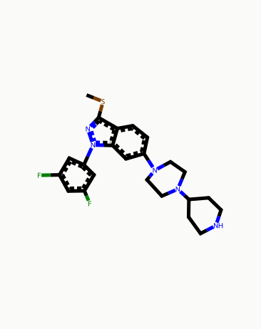 CSc1nn(-c2cc(F)cc(F)c2)c2cc(N3CCN(C4CCNCC4)CC3)ccc12